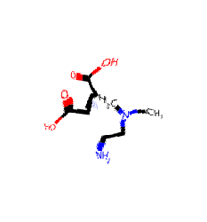 CN(C)CCN.O=C(O)/C=C\C(=O)O